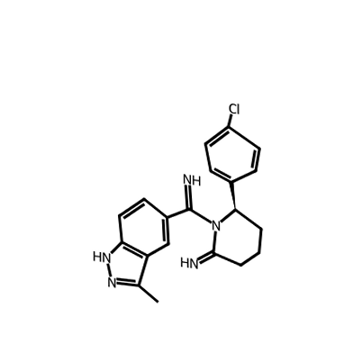 Cc1n[nH]c2ccc(C(=N)N3C(=N)CCC[C@@H]3c3ccc(Cl)cc3)cc12